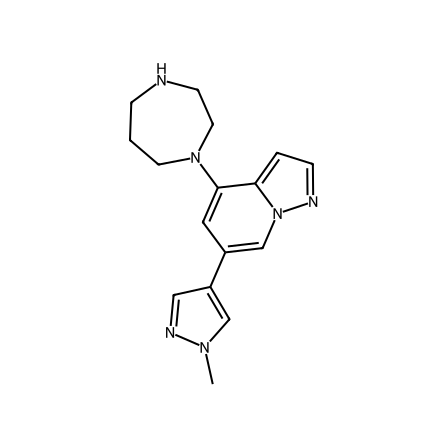 Cn1cc(-c2cc(N3CCCNCC3)c3ccnn3c2)cn1